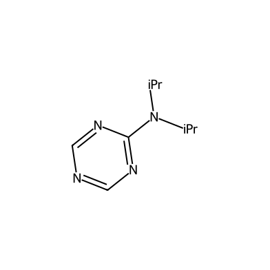 CC(C)N(c1ncncn1)C(C)C